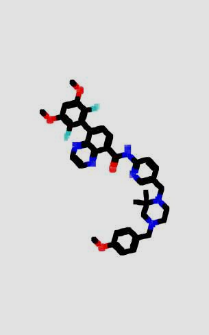 COc1ccc(CN2CCN(Cc3ccc(NC(=O)c4ccc(-c5c(F)c(OC)cc(OC)c5F)c5nccnc45)nc3)C(C)(C)C2)cc1